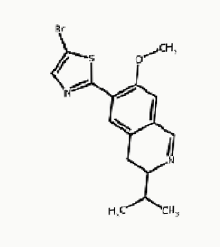 COc1cc2c(cc1-c1ncc(Br)s1)CC(C(C)C)N=C2